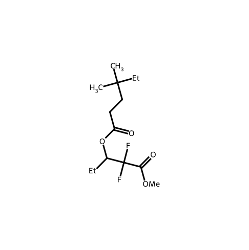 CCC(OC(=O)CCC(C)(C)CC)C(F)(F)C(=O)OC